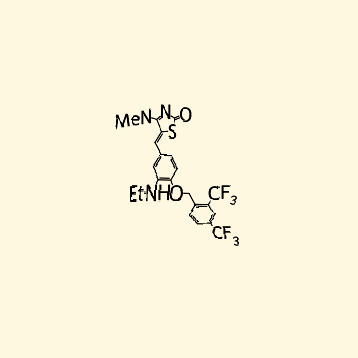 CCNc1cc(/C=C2\SC(=O)N=C2NC)ccc1OCc1ccc(C(F)(F)F)cc1C(F)(F)F